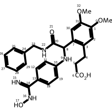 COc1cc(CCC(=O)O)c(C(Nc2ccc(C(=N)NO)cc2)C(=O)NCc2ccccc2)cc1OC